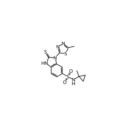 Cc1nnc(-n2c(=S)[nH]c3ccc(S(=O)(=O)NC4(C)CC4)cc32)s1